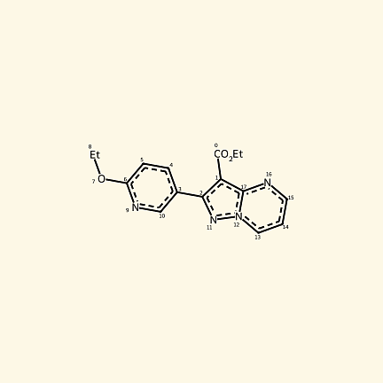 CCOC(=O)c1c(-c2ccc(OCC)nc2)nn2cccnc12